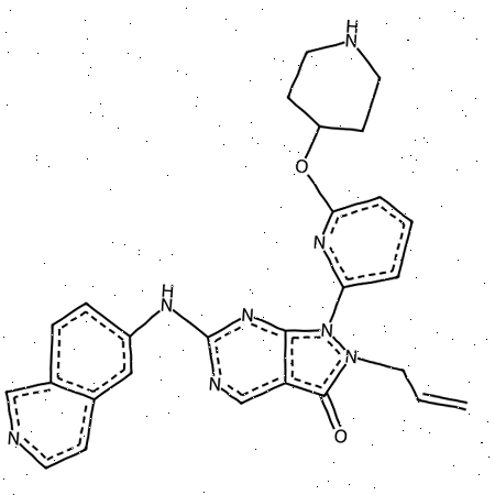 C=CCn1c(=O)c2cnc(Nc3ccc4cnccc4c3)nc2n1-c1cccc(OC2CCNCC2)n1